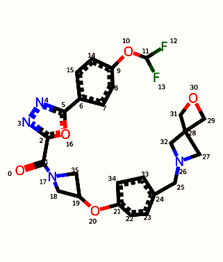 O=C(c1nnc(-c2ccc(OC(F)F)cc2)o1)N1CC(Oc2ccc(CN3CC4(COC4)C3)cc2)C1